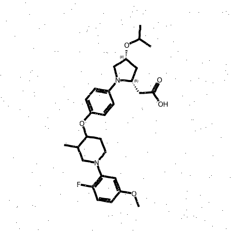 COc1ccc(F)c(N2CCC(Oc3ccc(N4C[C@H](OC(C)C)C[C@@H]4CC(=O)O)cc3)C(C)C2)c1